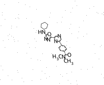 CN(C)C(=O)c1ccc(-c2cncc(-c3nnc(NC4CCCCC4)o3)n2)cc1